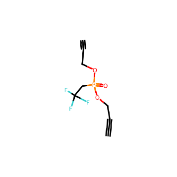 C#CCOP(=O)(CC(F)(F)F)OCC#C